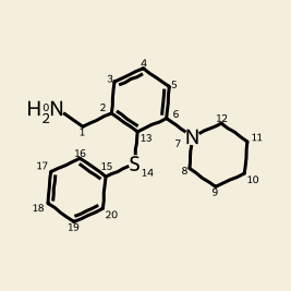 NCc1cccc(N2CCCCC2)c1Sc1ccccc1